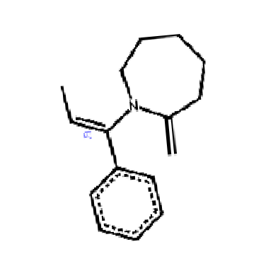 C=C1CCCCCN1/C(=C\C)c1ccccc1